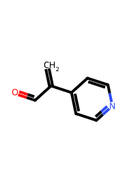 C=C(C=O)c1ccncc1